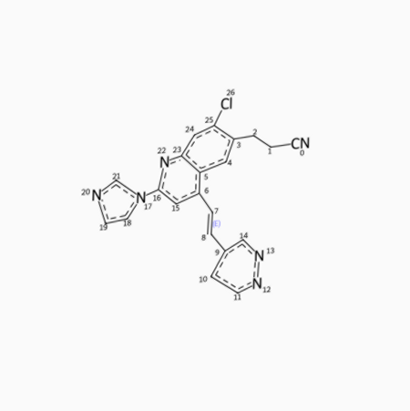 N#CCCc1cc2c(/C=C/c3ccnnc3)cc(-n3ccnc3)nc2cc1Cl